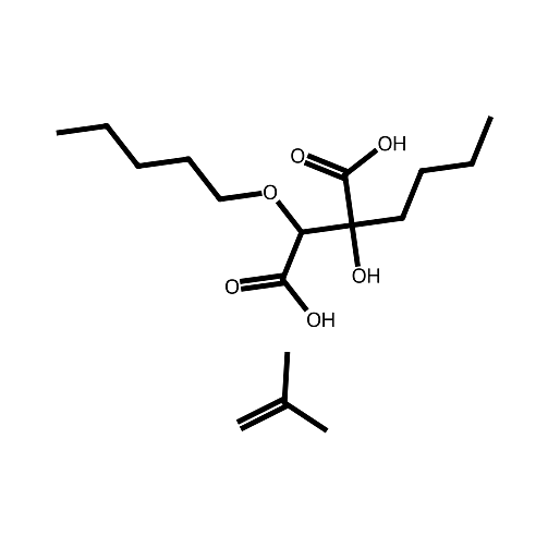 C=C(C)C.CCCCCOC(C(=O)O)C(O)(CCCC)C(=O)O